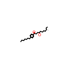 CCCCCCCc1ccc(C(=O)CCC(=O)CCCC[C@@H](C)CC)cc1